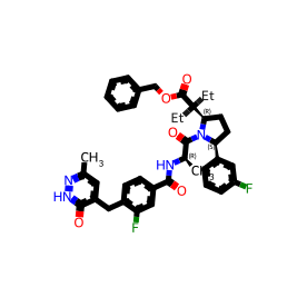 CCC(CC)(C(=O)OCc1ccccc1)[C@H]1CC[C@@H](c2cccc(F)c2)N1C(=O)[C@@H](C)NC(=O)c1ccc(Cc2cc(C)n[nH]c2=O)c(F)c1